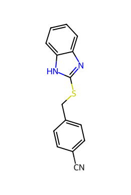 N#Cc1ccc(CSc2nc3ccccc3[nH]2)cc1